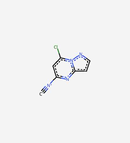 [C-]#[N+]c1cc(Cl)n2nccc2n1